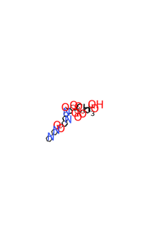 CCC1(OC(=O)COc2ccc(C(=O)O)cc2)C(=O)OCc2c1cc1n(c2=O)Cc2cc3cc(OC(=O)N4CCC(N5CCCCC5)CC4)ccc3nc2-1